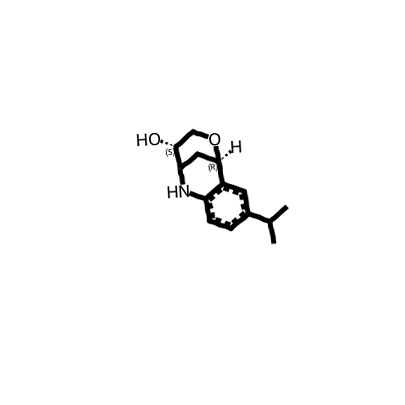 CC(C)c1ccc2c(c1)[C@H]1CC(N2)[C@H](O)CO1